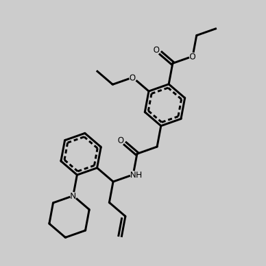 C=CCC(NC(=O)Cc1ccc(C(=O)OCC)c(OCC)c1)c1ccccc1N1CCCCC1